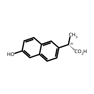 C[C@H](C(=O)O)c1ccc2cc(O)ccc2c1